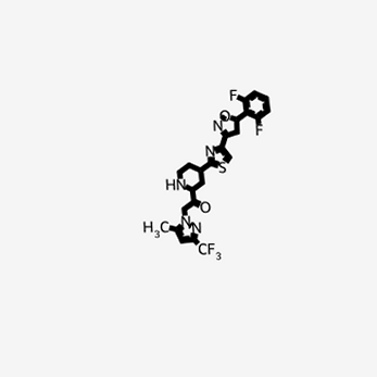 Cc1cc(C(F)(F)F)nn1CC(=O)C1CC(c2nc(C3=NOC(c4c(F)cccc4F)C3)cs2)CCN1